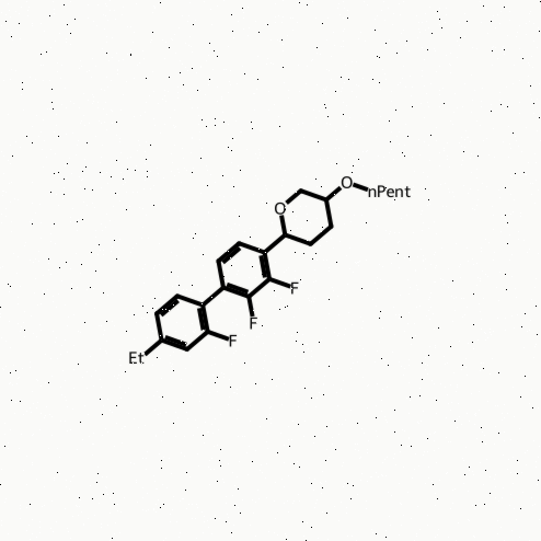 CCCCCOC1CCC(c2ccc(-c3ccc(CC)cc3F)c(F)c2F)OC1